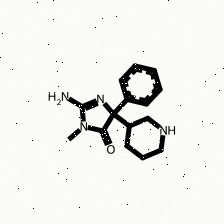 CN1C(=O)C(c2ccccc2)(C2CCCNC2)N=C1N